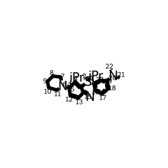 CC(C)[Si]1(C(C)C)C2=CC(=[N+]3CCCCC3)C=CC2=Nc2ccc(N(C)C)cc21